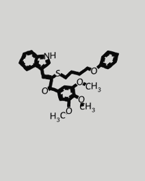 COc1cc(C(=O)/C(=C/c2c[nH]c3ccccc23)SCCCCOc2ccccc2)cc(OC)c1OC